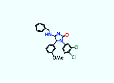 COc1cccc(C2C(NCc3ccccc3)=NC(=O)N2c2ccc(Cl)c(Cl)c2)c1